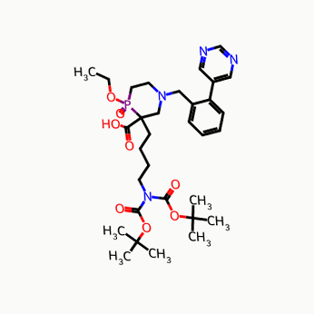 CCOP1(=O)CCN(Cc2ccccc2-c2cncnc2)CC1(CCCCN(C(=O)OC(C)(C)C)C(=O)OC(C)(C)C)C(=O)O